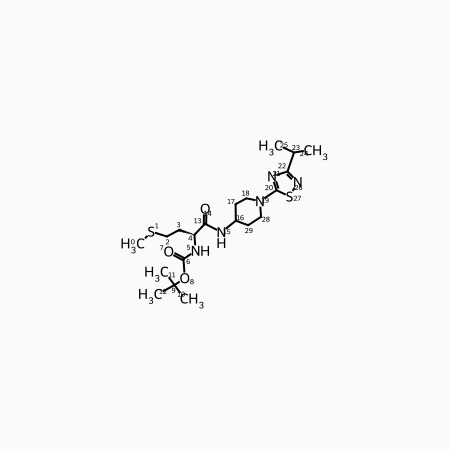 CSCC[C@H](NC(=O)OC(C)(C)C)C(=O)NC1CCN(c2nc(C(C)C)ns2)CC1